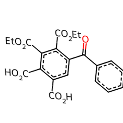 CCOC(=O)c1c(C(=O)c2ccccc2)cc(C(=O)O)c(C(=O)O)c1C(=O)OCC